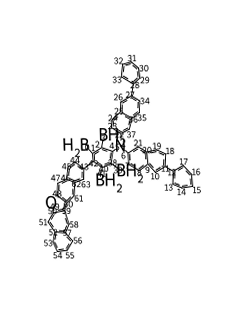 Bc1c(B)c(N(c2ccc3cc(-c4ccccc4)ccc3c2)c2ccc3cc(-c4ccccc4)ccc3c2)c(B)c(B)c1-c1ccc2cc3oc4cc5ccccc5cc4c3cc2c1